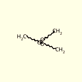 C=CCCCC=CCOB(OCC=CCCCC=C)OCC=CCCCC=C